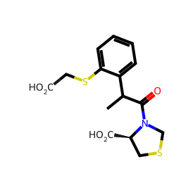 CC(C(=O)N1CSC[C@H]1C(=O)O)c1ccccc1SCC(=O)O